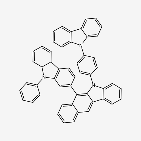 C1=CC2c3ccc(-c4c5ccccc5cc5c6ccccc6n(-c6ccc(-n7c8ccccc8c8ccccc87)cc6)c45)cc3N(c3ccccc3)C2C=C1